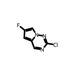 Fc1cc2cnc(Cl)nn2c1